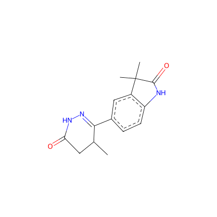 CC1CC(=O)NN=C1c1ccc2c(c1)C(C)(C)C(=O)N2